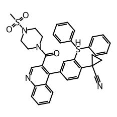 CS(=O)(=O)N1CCN(C(=O)c2cnc3ccccc3c2-c2ccc(C3(C#N)CC3)c([SH](c3ccccc3)c3ccccc3)c2)CC1